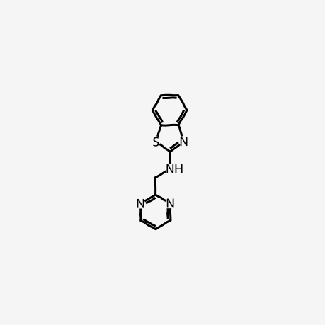 c1cnc(CNc2nc3ccccc3s2)nc1